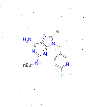 CCCCNc1nc(N)c2nc(Br)n(Cc3ccc(Cl)nc3)c2n1